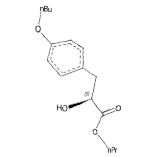 CCCCOc1ccc(C[C@H](O)C(=O)OCCC)cc1